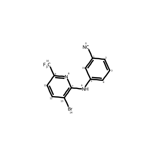 N#Cc1cccc(Nc2nc(C(F)(F)F)ccc2Br)c1